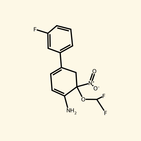 NC1=CC=C(c2cccc(F)c2)CC1(OC(F)F)[N+](=O)[O-]